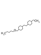 CCCCCOCC1CCC(CCC2CCC(CC)CC2)CC1